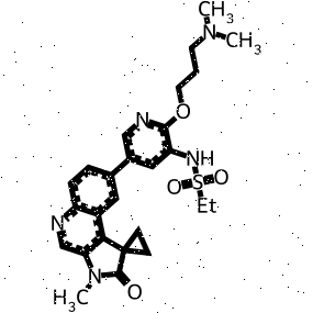 CCS(=O)(=O)Nc1cc(-c2ccc3ncc4c(c3c2)C2(CC2)C(=O)N4C)cnc1OCCCN(C)C